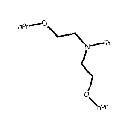 CCCOCCN(CCOCCC)C(C)C